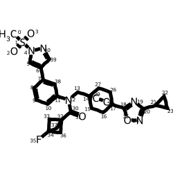 CS(=O)(=O)n1cc(-c2cccc(N(CC34CCC(c5nc(C6CC6)no5)(CC3)CC4)C(=O)C34CC(F)(C3)C4)c2)cn1